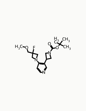 COCC1(F)CN(c2ccncc2C2CN(C(=O)OC(C)(C)C)C2)C1